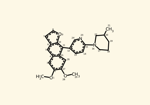 COc1cc2cc3ccoc3c(-c3ccc(N4CCCC(C)C4)nc3)c2cc1OC